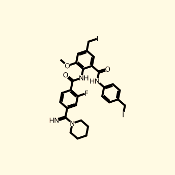 COc1cc(CI)cc(C(=O)Nc2ccc(CI)cc2)c1NC(=O)c1ccc(C(=N)N2CCCCC2)cc1F